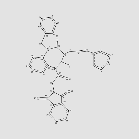 CC1C(CC=Cc2ccccc2)C(=O)N(Cc2ccccc2)c2ccccc2N1C(=O)CN1C(=O)c2ccccc2C1=O